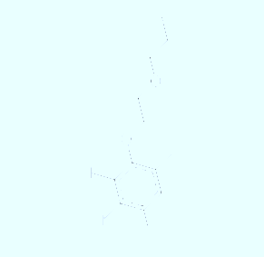 CCCOCCOc1c(C)cc(I)c(I)c1I